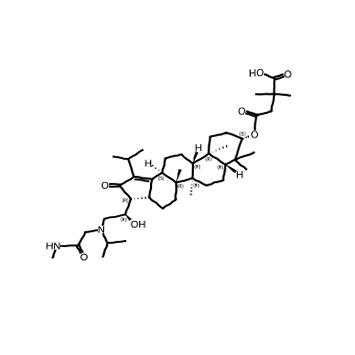 CNC(=O)CN(C[C@H](O)[C@@H]1C(=O)C(C(C)C)=C2C1CC[C@]1(C)[C@@H]2CC[C@@H]2[C@@]3(C)CC[C@H](OC(=O)CC(C)(C)C(=O)O)C(C)(C)[C@@H]3CC[C@]21C)C(C)C